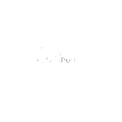 CCC[CH2][Zr]([CH3])(=[SiH2])([CH2]CCC)(=[C]1C(C)=Cc2c1cc1c3c(cccc23)CC1)(=[C]1C(C)=Cc2c1cc1c3c(cccc23)CC1)[c]1ccccc1